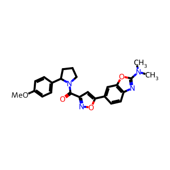 COc1ccc(C2CCCN2C(=O)c2cc(-c3ccc4nc(N(C)C)oc4c3)on2)cc1